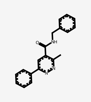 Cc1nnc(-c2ccccc2)cc1C(=O)NCc1ccccc1